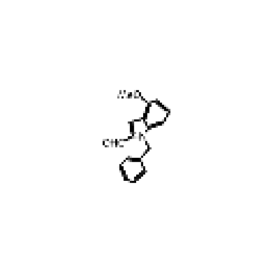 COc1cccc2c1cc(C=O)n2Cc1ccccc1